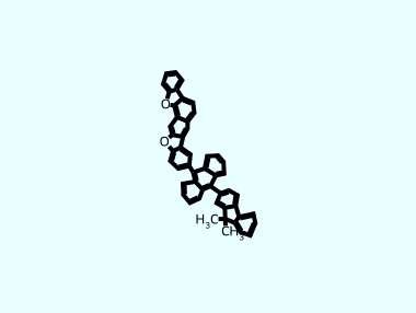 CC1(C)c2ccccc2-c2ccc(-c3c4ccccc4c(-c4ccc5oc6cc7c(ccc8c9ccccc9oc78)cc6c5c4)c4ccccc34)cc21